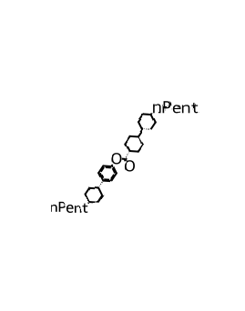 CCCCC[C@H]1CC[C@H](c2ccc(OC(=O)[C@H]3CC[C@H]([C@H]4CC[C@H](CCCCC)CC4)CC3)cc2)CC1